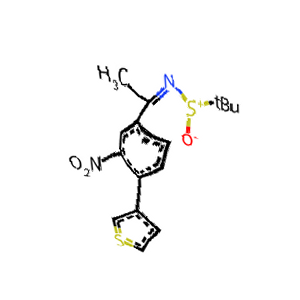 C/C(=N/[S+]([O-])C(C)(C)C)c1ccc(-c2ccsc2)c([N+](=O)[O-])c1